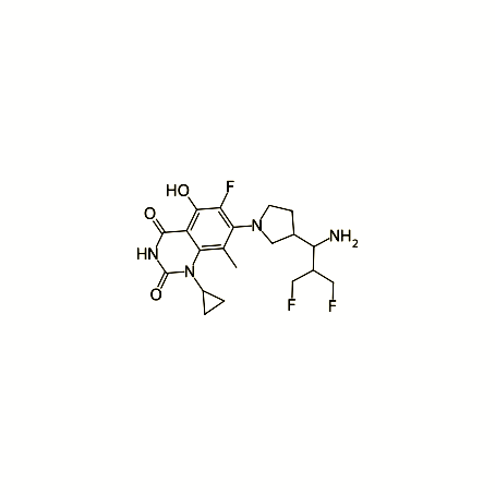 Cc1c(N2CCC(C(N)C(CF)CF)C2)c(F)c(O)c2c(=O)[nH]c(=O)n(C3CC3)c12